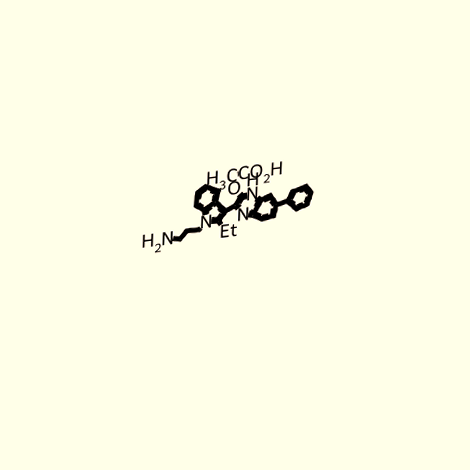 CC(=O)O.CCc1c(-c2nc3ccc(-c4ccccc4)cc3[nH]c2=O)c2ccccc2n1CCCN